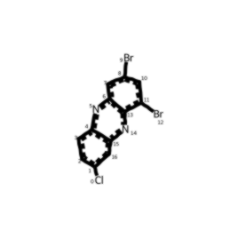 Clc1ccc2nc3[c]c(Br)cc(Br)c3nc2c1